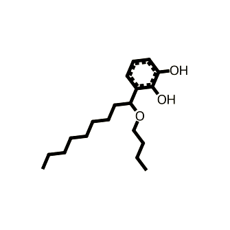 CCCCCCCCC(OCCCC)c1cccc(O)c1O